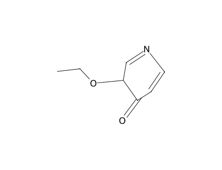 CCOC1C=NC=CC1=O